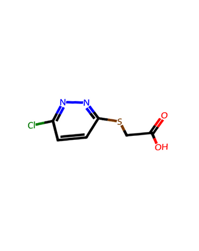 O=C(O)CSc1ccc(Cl)nn1